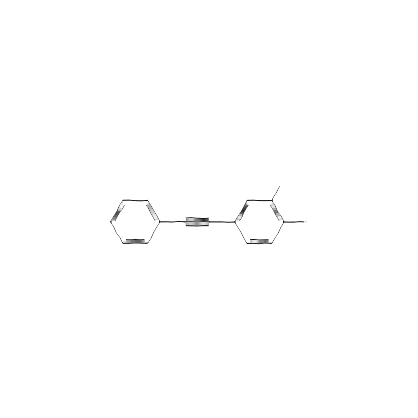 Fc1ccc(C#Cc2cc[c]cc2)cc1F